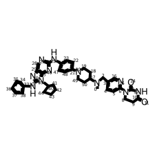 CN(Cc1ccc(N2CCC(=O)NC2=O)nc1)C1CCN(c2ccc(Nc3ncc4nc(Nc5ccccc5)n(C5CCCC5)c4n3)cc2)CC1